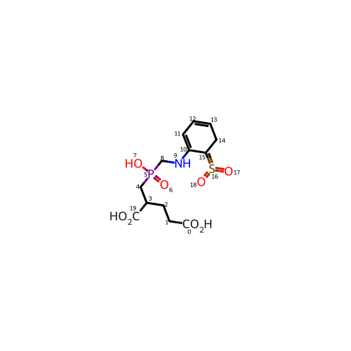 O=C(O)CCC(CP(=O)(O)CNC1=CC=CCC1=S(=O)=O)C(=O)O